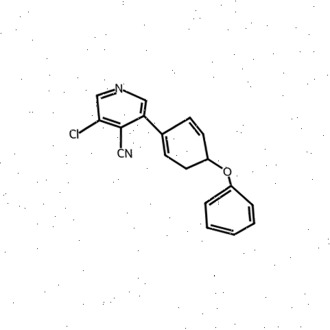 N#Cc1c(Cl)cncc1C1=CCC(Oc2ccccc2)C=C1